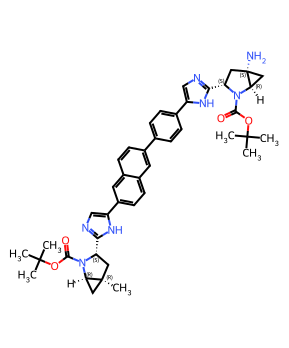 CC(C)(C)OC(=O)N1[C@H](c2ncc(-c3ccc4cc(-c5ccc(-c6cnc([C@@H]7C[C@@]8(N)C[C@H]8N7C(=O)OC(C)(C)C)[nH]6)cc5)ccc4c3)[nH]2)C[C@@]2(C)C[C@@H]12